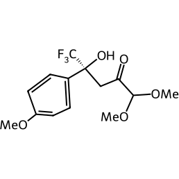 COc1ccc([C@@](O)(CC(=O)C(OC)OC)C(F)(F)F)cc1